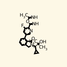 CC(=N)OC(=N)c1ncc(-c2cccc3c2C(=O)N([C@H](C2CC2)C(C)(C)O)C3)cc1F